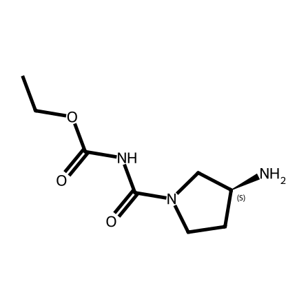 CCOC(=O)NC(=O)N1CC[C@H](N)C1